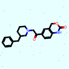 O=C1Nc2ccc(C(=O)CN3CCCC(Cc4ccccc4)C3)cc2CO1